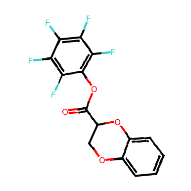 O=C(Oc1c(F)c(F)c(F)c(F)c1F)C1COc2ccccc2O1